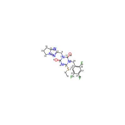 CCSc1nc(=O)n(Cc2nc3n(n2)CCC3)c(=O)n1Cc1cc(F)c(F)cc1F